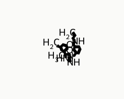 C=CCNC(=O)c1cccc(CN2C(=N)NC(C)(c3cccc(C=C)c3)C2=O)c1